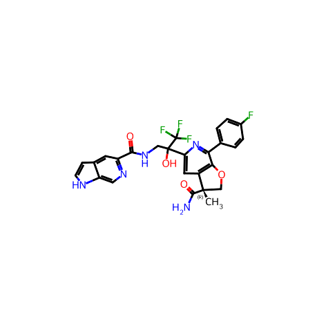 C[C@]1(C(N)=O)COc2c1cc(C(O)(CNC(=O)c1cc3cc[nH]c3cn1)C(F)(F)F)nc2-c1ccc(F)cc1